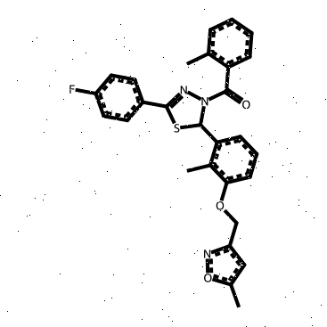 Cc1cc(COc2cccc(C3SC(c4ccc(F)cc4)=NN3C(=O)c3ccccc3C)c2C)no1